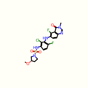 CO[C@@H]1CCN(S(=O)(=O)Nc2ccc(F)c(Nc3ccc4ncn(C)c(=O)c4c3F)c2Cl)C1